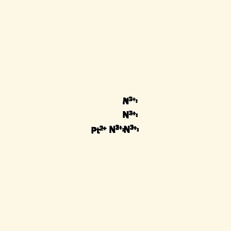 [N+3].[N+3].[N+3].[N+3].[Pt+2]